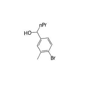 CCCC(O)c1ccc(Br)c(C)c1